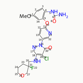 COc1ccc(NC(N)=O)c(Oc2ccc(-n3ncc(NC[C@@]4(F)CCCOC4)c(Cl)c3=O)cn2)c1